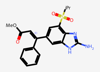 COC(=O)/C=C(\c1ccccc1)c1cc(S(=O)(=O)C(C)C)c2nc(N)[nH]c2c1